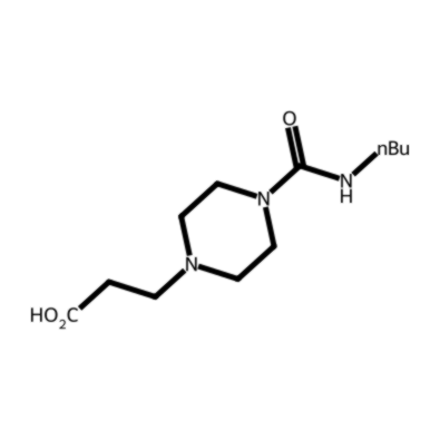 CCCCNC(=O)N1CCN(CCC(=O)O)CC1